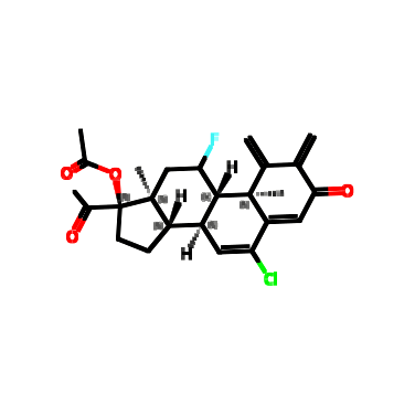 C=C1C(=C)[C@@]2(C)C(=CC1=O)C(Cl)=C[C@@H]1[C@@H]2C(F)C[C@@]2(C)[C@H]1CC[C@]2(OC(C)=O)C(C)=O